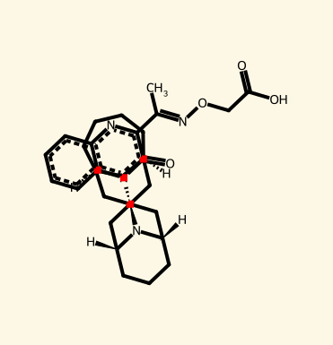 C/C(=N\OCC(=O)O)c1nc2ccccc2n([C@H]2C[C@H]3CCC[C@@H](C2)N3[C@@H]2C[C@@H]3CCCC[C@@H](C3)C2)c1=O